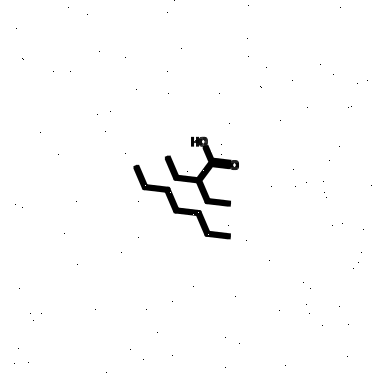 CCC(CC)C(=O)O.CCCCCCC